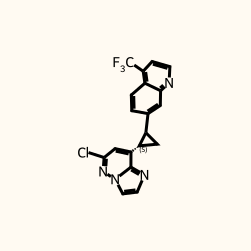 FC(F)(F)c1ccnc2cc(C3C[C@@H]3c3cc(Cl)nn4ccnc34)ccc12